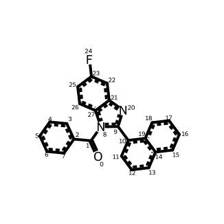 O=C(c1ccccc1)n1c(-c2cccc3ccccc23)nc2cc(F)ccc21